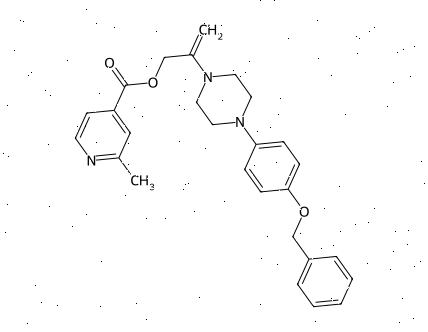 C=C(COC(=O)c1ccnc(C)c1)N1CCN(c2ccc(OCc3ccccc3)cc2)CC1